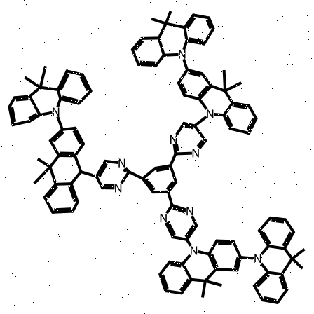 CC1(C)c2ccccc2C(c2cnc(-c3cc(-c4ncc(N5c6ccccc6C(C)(C)c6cc(N7c8ccccc8C(C)(C)c8ccccc87)ccc65)cn4)cc(-c4ncc(N5c6ccccc6C(C)(C)c6cc(N7c8ccccc8C(C)(C)C8C=CC=CC87)ccc65)cn4)c3)nc2)c2ccc(N3c4ccccc4C(C)(C)c4ccccc43)cc21